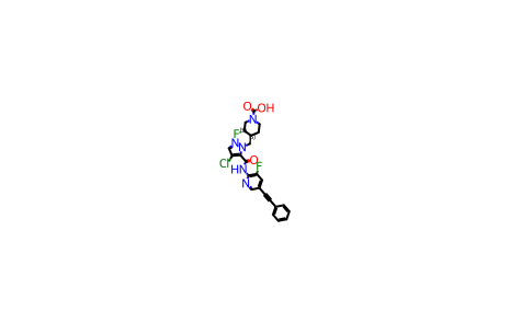 O=C(Nc1ncc(C#Cc2ccccc2)cc1F)c1c(Cl)cnn1C[C@@H]1CCN(C(=O)O)C[C@H]1F